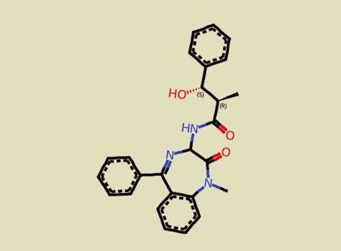 C[C@@H](C(=O)NC1N=C(c2ccccc2)c2ccccc2N(C)C1=O)[C@H](O)c1ccccc1